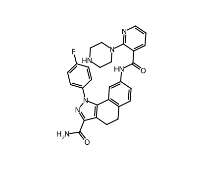 NC(=O)c1nn(-c2ccc(F)cc2)c2c1CCc1ccc(NC(=O)c3cccnc3N3CCNCC3)cc1-2